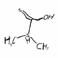 C[SH](C)C(O)=S